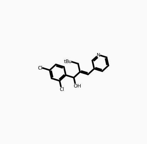 CC(C)(C)C/C(=C\c1cccnc1)C(O)c1ccc(Cl)cc1Cl